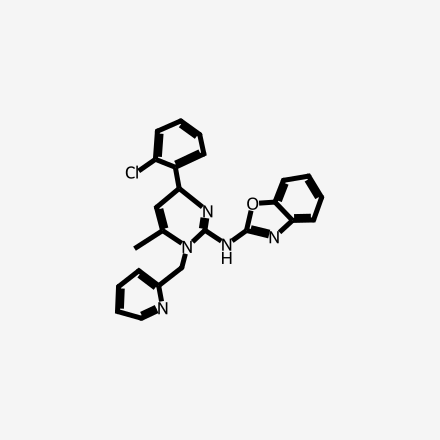 CC1=CC(c2ccccc2Cl)N=C(Nc2nc3ccccc3o2)N1Cc1ccccn1